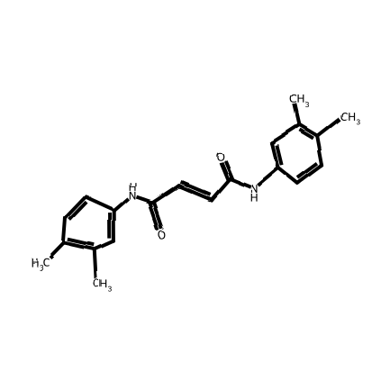 Cc1ccc(NC(=O)C=CC(=O)Nc2ccc(C)c(C)c2)cc1C